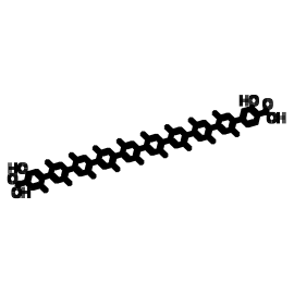 Cc1cc(-c2cc(C)c(-c3cc(C)c(-c4cc(C)c(-c5cc(C)c(-c6cc(C)c(-c7cc(C)c(-c8cc(C)c(-c9cc(O)c(C(=O)O)cc9C)cc8C)cc7C)cc6C)cc5C)cc4C)cc3C)cc2C)c(C)cc1-c1ccc(C(=O)O)c(O)c1